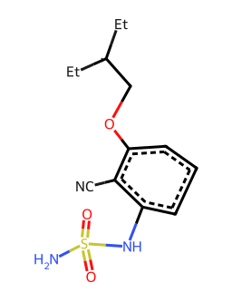 CC[C](CC)COc1cccc(NS(N)(=O)=O)c1C#N